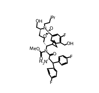 COC(=O)N(C(=O)[C@@H](N)C(c1ccc(F)cc1)c1ccc(F)cc1)[C@H](CCC[C@@H](CO)N(CCC(C)C)S(=O)(=O)c1ccc(CO)c(F)c1)C1CC1